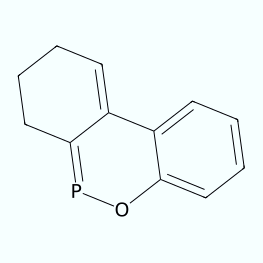 C1=C2C(=POc3ccccc32)CCC1